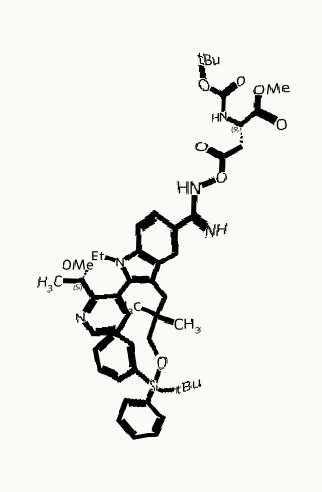 CCn1c(-c2cccnc2[C@H](C)OC)c(CC(C)(C)CO[Si](c2ccccc2)(c2ccccc2)C(C)(C)C)c2cc(C(=N)NOC(=O)C[C@H](NC(=O)OC(C)(C)C)C(=O)OC)ccc21